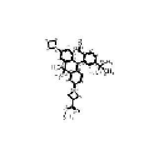 COC(=O)C1C[N+](=C2C=CC3=C(c4cc(C(C)(C)C)ccc4C(=O)[O-])c4ccc(N5CCC5)cc4C(C)(C)C3=C2)C1